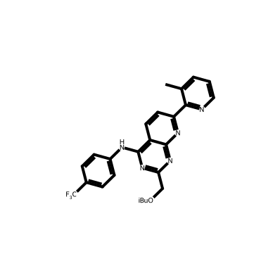 Cc1cccnc1-c1ccc2c(Nc3ccc(C(F)(F)F)cc3)nc(COCC(C)C)nc2n1